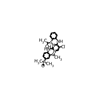 COc1cc(P(C)(C)=O)ccc1Nc1ncc(Cl)c(Nc2ccccc2SC(C)C)n1